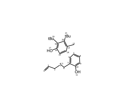 C=CCSCc1ccccc1O.Cc1ccc(O)c(C(C)(C)C)c1C(C)(C)C